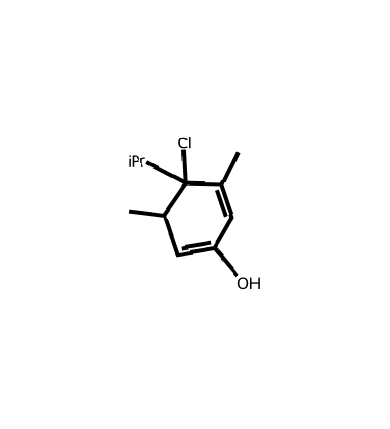 CC1=CC(O)=CC(C)C1(Cl)C(C)C